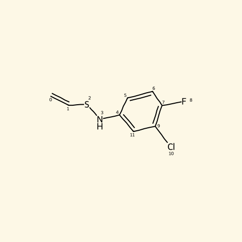 C=CSNc1ccc(F)c(Cl)c1